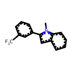 Cn1c(-c2cccc(C(F)(F)F)c2)cc2ccccc21